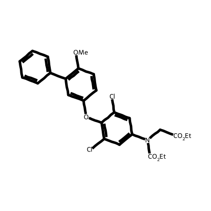 CCOC(=O)CN(C(=O)OCC)c1cc(Cl)c(Oc2ccc(OC)c(-c3ccccc3)c2)c(Cl)c1